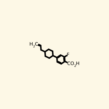 C=CCC1CCC(c2ccc(C(=O)O)c(F)c2)CC1